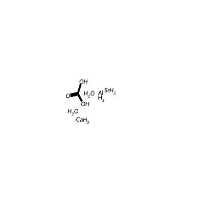 O.O.O=C(O)O.[AlH3].[CaH2].[SrH2]